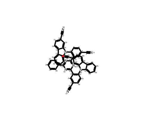 N#Cc1ccc(-n2c3ccccc3c3ccc(C#N)cc32)c(-c2nc(-c3ccccc3)nc(-c3cc(C#N)ccc3-n3c4ccccc4c4ccc(C#N)cc43)n2)c1